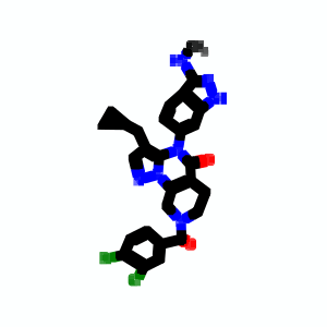 CNc1n[nH]c2cc(-n3c(=O)c4c(n5ncc(CC6CC6)c35)CN(C(=O)c3ccc(Br)c(Cl)c3)CC4)ccc12